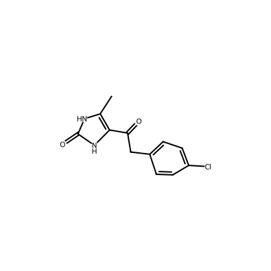 Cc1[nH]c(=O)[nH]c1C(=O)Cc1ccc(Cl)cc1